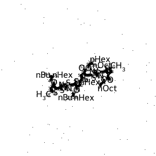 CCCCCCCCC(CCCCCC)COC(=O)c1cc(C)sc1-c1nc2sc(-c3sc(-c4cc(OCC(CCCC)CCCCCC)c(-c5nc6sc(-c7sc(C)cc7OCC(CCCC)CCCCCC)nc6s5)s4)cc3C(=O)OCC(CCCCCC)CCCCCCCC)nc2s1